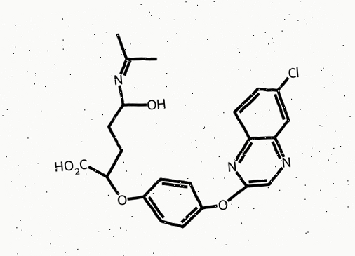 CC(C)=NC(O)CCC(Oc1ccc(Oc2cnc3cc(Cl)ccc3n2)cc1)C(=O)O